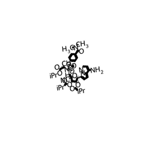 CC(C)OC(=O)[C@H](C)N[P@@](=O)(OC[C@@]1(C#N)O[C@@H](c2ccc3c(N)ccnn23)[C@H](OC(=O)C(C)C)[C@@H]1OC(=O)C(C)C)Oc1ccc(C(=O)N(C)C)cc1